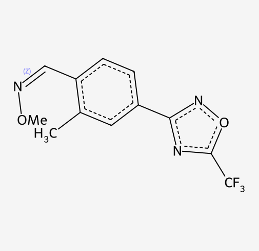 CO/N=C\c1ccc(-c2noc(C(F)(F)F)n2)cc1C